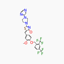 COc1cc(C=C2SC(N3CCN(c4cnccn4)CC3)=NC2=O)ccc1OCc1ccc(C(F)(F)F)cc1C(F)(F)F